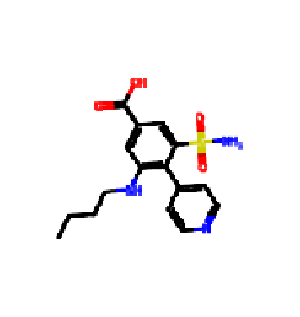 CCCCNc1cc(C(=O)O)cc(S(N)(=O)=O)c1-c1ccncc1